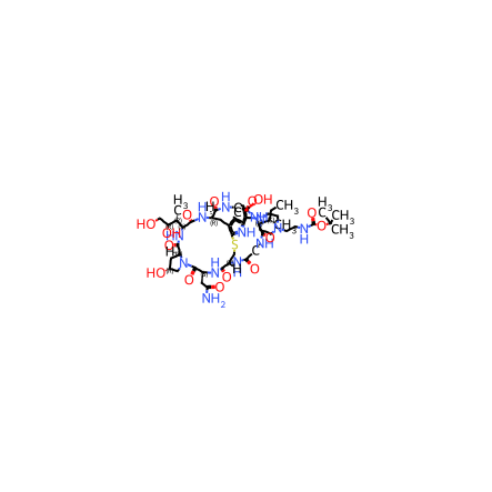 CC[C@H](C)[C@@H]1NC(=O)CNC(=O)[C@H]2Cc3c([nH]c4c(N5CCN(CCNC(=O)OC(C)(C)C)CC5)c(O)ccc34)SC[C@H](NC(=O)CNC1=O)C(=O)N[C@@H](CC(N)=O)C(=O)N1C[C@H](O)C[C@H]1C(=O)N[C@@H]([C@@H](C)[C@@H](O)CO)C(=O)N2